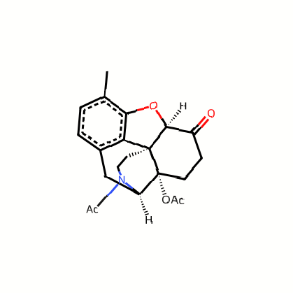 CC(=O)O[C@@]12CCC(=O)[C@@H]3Oc4c(C)ccc5c4[C@@]31CCN(C(C)=O)[C@@H]2C5